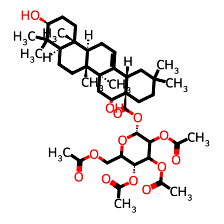 CC(=O)OCC1O[C@H](OC(=O)[C@]23CCC(C)(C)C[C@H]2C2=CC[C@@H]4[C@@]5(C)CC[C@H](O)C(C)(C)[C@@H]5CC[C@@]4(C)[C@]2(C)CC3O)C(OC(C)=O)C(OC(C)=O)[C@@H]1OC(C)=O